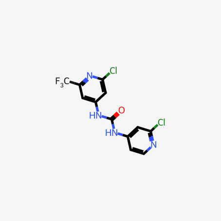 O=C(Nc1ccnc(Cl)c1)Nc1cc(Cl)nc(C(F)(F)F)c1